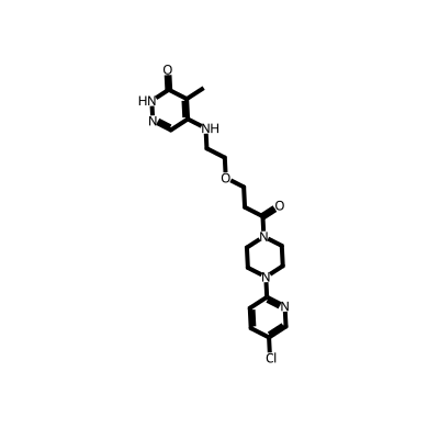 Cc1c(NCCOCCC(=O)N2CCN(c3ccc(Cl)cn3)CC2)cn[nH]c1=O